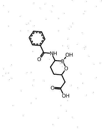 O=C(O)CC1CCC(NC(=O)c2ccccc2)B(O)O1